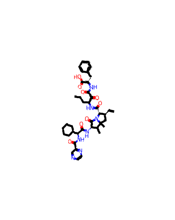 CCCC(NC(=O)[C@@H]1[C@@H](CC)CC2(C)C(C)[C@H](NC(=O)[C@@H](NC(=O)c3cnccn3)C3CCCCC3)C(=O)N12)C(=O)C(=O)N[C@@H](Cc1ccccc1)C(=O)O